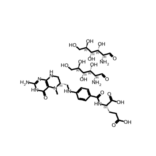 CN1c2c(nc(N)[nH]c2=O)NC[C@@H]1CNc1ccc(C(=O)N[C@@H](CCC(=O)O)C(=O)O)cc1.N[C@@H](C=O)[C@@H](O)[C@H](O)[C@H](O)CO.N[C@@H](C=O)[C@@H](O)[C@H](O)[C@H](O)CO